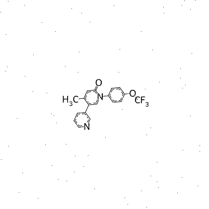 Cc1cc(=O)n(-c2ccc(OC(F)(F)F)cc2)cc1-c1cccnc1